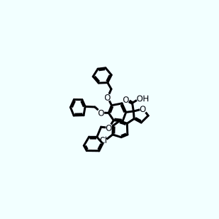 O=C(O)C1(c2cc(OCc3ccccc3)c(OCc3ccccc3)c(OCc3ccccc3)c2)OCC=C1c1ccc(Cl)cc1